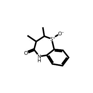 CC1C(=O)Nc2ccccc2[S+]([O-])C1C